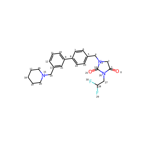 O=C1CN(Cc2ccc(-c3cccc(CN4CCCCC4)c3)cc2)C(=O)N1CC(F)F